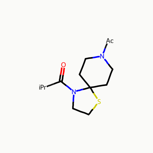 CC(=O)N1CCC2(CC1)SCCN2C(=O)C(C)C